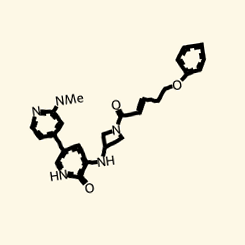 CNc1cc(-c2c[nH]c(=O)c(NC3CN(C(=O)/C=C/CCOc4ccccc4)C3)c2)ccn1